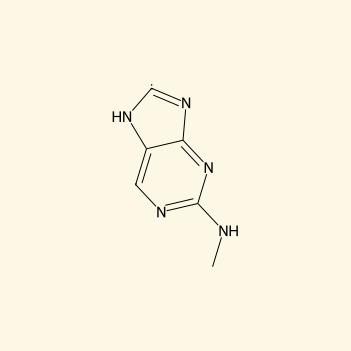 CNc1ncc2[nH][c]nc2n1